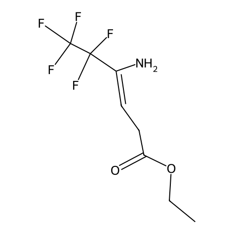 CCOC(=O)CC=C(N)C(F)(F)C(F)(F)F